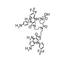 C[N+]1(CC(=O)O)CCC(C(=O)N(CCCN2CC(Nc3cccc(C(F)(F)F)c3)=C([C@H](N)c3ccc(N)cc3)C2=O)CCCN2CC(Nc3cccc(C(F)(F)F)c3)=C([C@H](N)c3ccc(N)cc3)C2=O)CC1